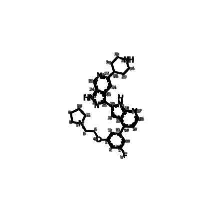 Fc1cc(OCCN2CCCC2)cc(-c2ccnc3[nH]c(-c4n[nH]c5cnc(C6CCNCC6)cc45)cc23)c1